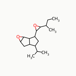 CCC(C)C1OC1C1CC(C(C)C)C2CC3OC3C21